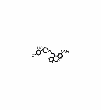 COc1ccc2c(c1)/C(=C/CCN1CCC(O)(c3ccc(Cl)cc3)CC1)c1cccnc1CO2